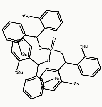 CC(C)(C)c1ccccc1C(OP(=O)(OC(c1ccccc1C(C)(C)C)c1ccccc1C(C)(C)C)OC(c1ccccc1C(C)(C)C)c1ccccc1C(C)(C)C)c1ccccc1C(C)(C)C